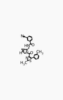 Cc1cccc(-c2sc(C)nc2C(=O)N2C[C@@H]3CC3[C@H]2CNC(=O)c2cccc(C#N)c2)c1